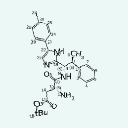 C[C@@H](c1ccccc1)[C@H](NC(=O)[C@H](N)CC(=O)OC(C)(C)C)c1ncc(-c2ccc(I)cc2)[nH]1